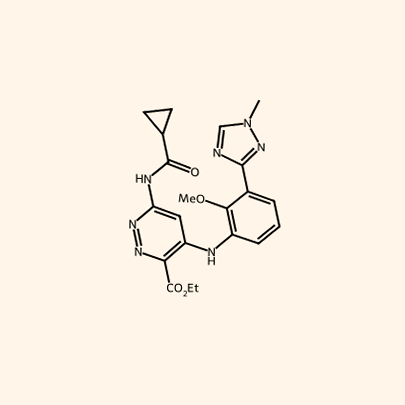 CCOC(=O)c1nnc(NC(=O)C2CC2)cc1Nc1cccc(-c2ncn(C)n2)c1OC